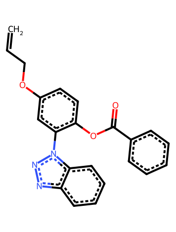 C=CCOc1ccc(OC(=O)c2ccccc2)c(-n2nnc3ccccc32)c1